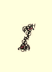 Cc1ccc(OC(=O)Cc2ccc(C)c3c(CC(=O)Oc4ccc5c6c4C[C@H]4C(=O)CC[C@@]7(O)[C@@H](C5)N(CC5CC5)CC[C@]647)ccc(C)c23)c2c1[C@]13CCN(CC4CC4)[C@H](C)[C@]1(O)CCC(=O)[C@@H]3O2